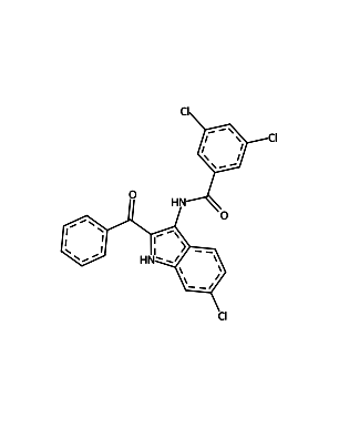 O=C(Nc1c(C(=O)c2ccccc2)[nH]c2cc(Cl)ccc12)c1cc(Cl)cc(Cl)c1